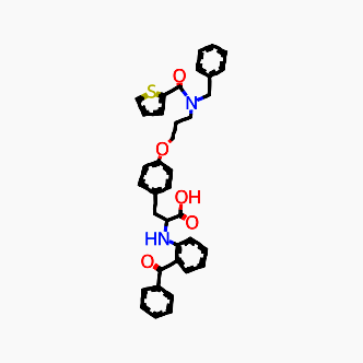 O=C(c1ccccc1)c1ccccc1NC(Cc1ccc(OCCCN(Cc2ccccc2)C(=O)c2cccs2)cc1)C(=O)O